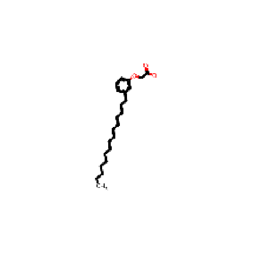 CCCCCCCCCCCCCCCc1cccc(OCC([O])=O)c1